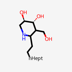 CCCCCCCCCC1NC[C@@H](O)[C@H](O)C1CO